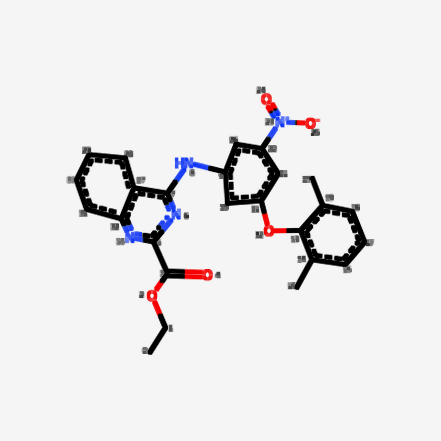 CCOC(=O)c1nc(Nc2cc(Oc3c(C)cccc3C)cc([N+](=O)[O-])c2)c2ccccc2n1